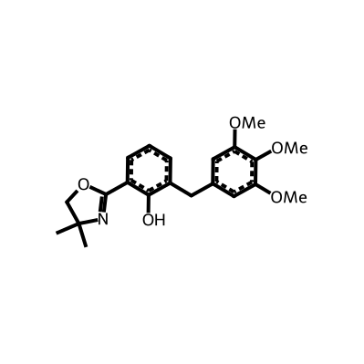 COc1cc(Cc2cccc(C3=NC(C)(C)CO3)c2O)cc(OC)c1OC